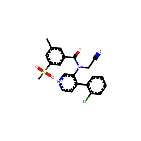 Cc1cc(C(=O)N(CC#N)c2cnccc2-c2ccccc2Cl)cc(S(C)(=O)=O)c1